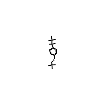 CC(C)(C)COc1ccc(C(C)(C)C(C)(C)C)cc1